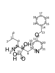 CC(C)C[C@H](N)[C@](O)(Cc1cc(OCc2ccccc2)ccn1)C(=O)O